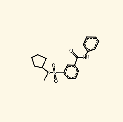 CN(C1CCCC1)S(=O)(=O)c1cccc(C(=O)Nc2ccccc2)c1